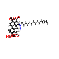 CCCCCCCCCCCCNc1cc2c3c(ccc4c5ccc(C(=O)O)c6c(C(=O)O)ccc(c1c34)c65)C(=O)OC2=O